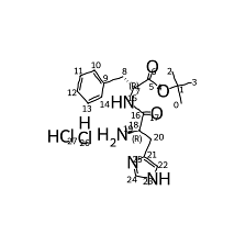 CC(C)(C)OC(=O)[C@@H](Cc1ccccc1)NC(=O)[C@H](N)Cc1c[nH]cn1.Cl.Cl